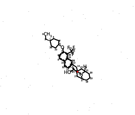 CC[C@H]1CC[C@@H](Oc2ccc3ccc(CCN4C5CCC[C@H]4CC(C(=O)O)C5)cc3c2C(F)(F)F)CC1